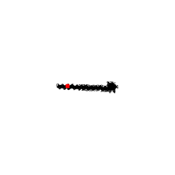 CCCCCCCCCCCCCCCCCCCCCCc1nccn1C